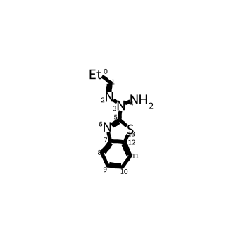 CC/C=N/N(N)c1nc2ccccc2s1